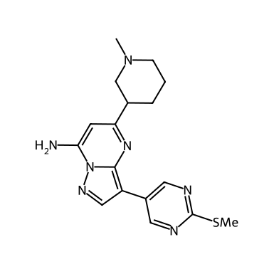 CSc1ncc(-c2cnn3c(N)cc(C4CCCN(C)C4)nc23)cn1